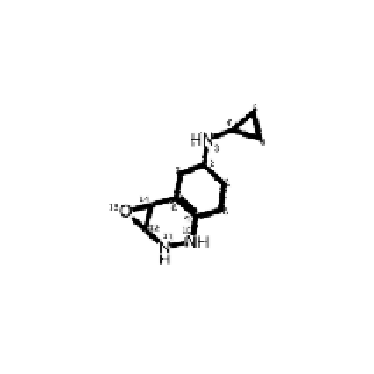 C1CC(NC2CC2)CC2=C1NNC1OC21